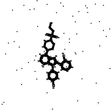 CCCS(=O)(=O)N1CCN(c2ncnc3c2nc(-c2ccccc2Cl)n3-c2ccc(Cl)cc2)CC1